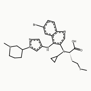 CSCC[C@@H](C(=O)O)N(c1cnc2ccc(Br)cc2c1Nc1cnn(C2CCCN(C)C2)c1)C1CC1